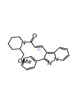 COCC1CCCCN1C(=O)/C=C/c1c(-c2ccccc2)nn2ccccc12